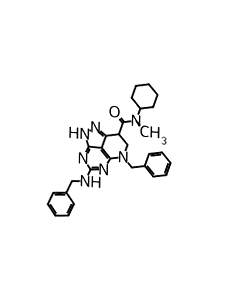 CN(C(=O)C1CN(Cc2ccccc2)c2nc(NCc3ccccc3)nc3[nH]nc1c23)C1CCCCC1